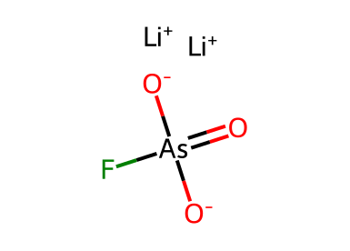 O=[As]([O-])([O-])F.[Li+].[Li+]